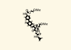 COCCOC(=O)Nc1ccc(-c2cc3sc(C(C(=O)NCC(=O)NC4CC4)S(=O)(=O)CCOC)nc3cc2F)cc1